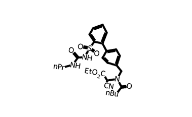 CCCCC(=O)N(Cc1ccc(-c2ccccc2S(=O)(=O)NC(=O)NCCC)cc1)C(C#N)C(=O)OCC